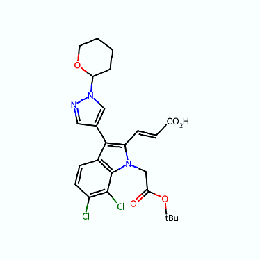 CC(C)(C)OC(=O)Cn1c(/C=C/C(=O)O)c(-c2cnn(C3CCCCO3)c2)c2ccc(Cl)c(Cl)c21